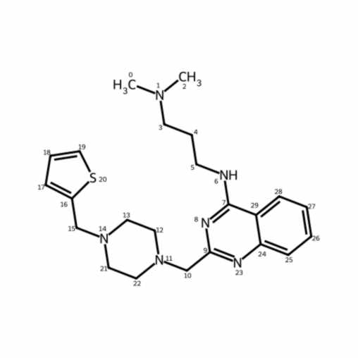 CN(C)CCCNc1nc(CN2CCN(Cc3cccs3)CC2)nc2ccccc12